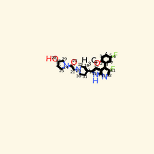 COc1ccc(F)cc1-c1c(F)cnc2[nH]c(C3=CCN(CC(=O)N4CC[C@@H](O)C4)CC3)cc12